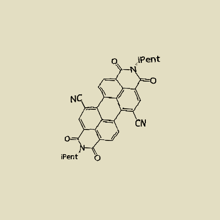 CCC[C@H](C)N1C(=O)c2ccc3c4c(C#N)cc5c6c(ccc(c7c(C#N)cc(c2c37)C1=O)c64)C(=O)N([C@@H](C)CCC)C5=O